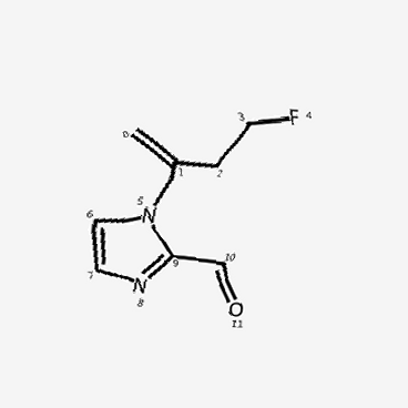 C=C(CCF)n1ccnc1C=O